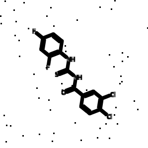 O=C(NC(=S)Nc1ccc(F)cc1F)c1ccc(Cl)c(Cl)c1